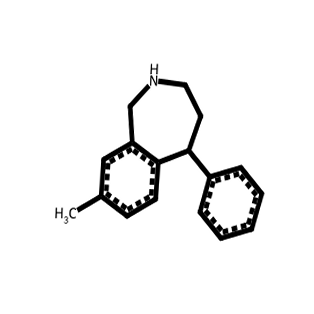 Cc1ccc2c(c1)CNCCC2c1ccccc1